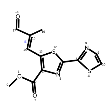 COC(=O)c1nc(-c2nccs2)sc1/C=C(\C)C=O